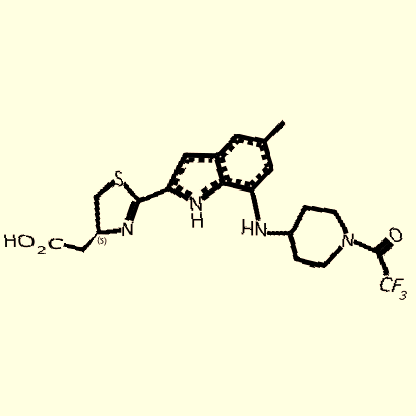 Cc1cc(NC2CCN(C(=O)C(F)(F)F)CC2)c2[nH]c(C3=N[C@@H](CC(=O)O)CS3)cc2c1